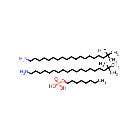 CC(C)(C)CCCCCCCCCCCCCCCCCN.CC(C)(C)CCCCCCCCCCCCCCCCCN.CCCCCCCCOP(=O)(O)O